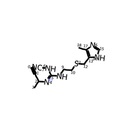 C#CC(C)/N=C(\NC#N)NCCSCc1[nH]cnc1C